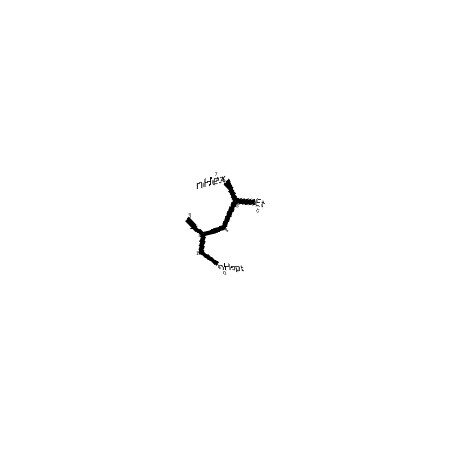 CCCCCCCCC(C)CC(CC)CCCCCC